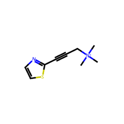 C[N+](C)(C)CC#Cc1nccs1